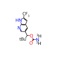 [2H]N([2H])C(=O)OC(c1cnc2[nH]c(C(F)(F)F)cc2c1)C(C)(C)C